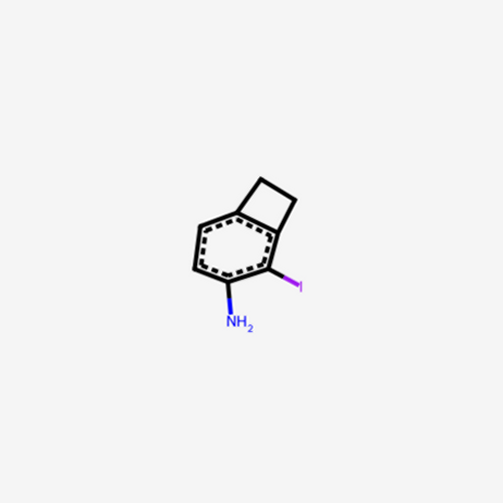 Nc1ccc2c(c1I)CC2